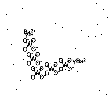 [Ba+2].[Ba+2].[O]=[W](=[O])([O-])[O-].[O]=[W](=[O])([O-])[O-].[O]=[W](=[O])([O-])[O-].[O]=[W](=[O])([O-])[O-].[O]=[W](=[O])([O-])[O-].[Y+3].[Y+3]